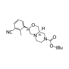 Cc1c(C#N)cccc1[C@@H]1CN2CCN(C(=O)OC(C)(C)C)C[C@@H]2CO1